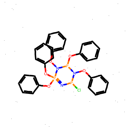 ClP1N=P(Oc2ccccc2)(Oc2ccccc2)N(Oc2ccccc2)P(Oc2ccccc2)N1Oc1ccccc1